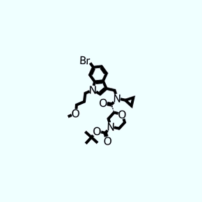 COCCCn1cc(CN(C(=O)[C@H]2CN(C(=O)OC(C)(C)C)CCO2)C2CC2)c2ccc(Br)cc21